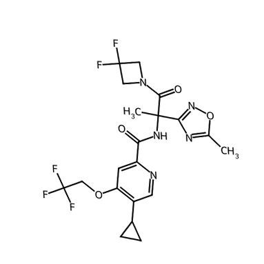 Cc1nc(C(C)(NC(=O)c2cc(OCC(F)(F)F)c(C3CC3)cn2)C(=O)N2CC(F)(F)C2)no1